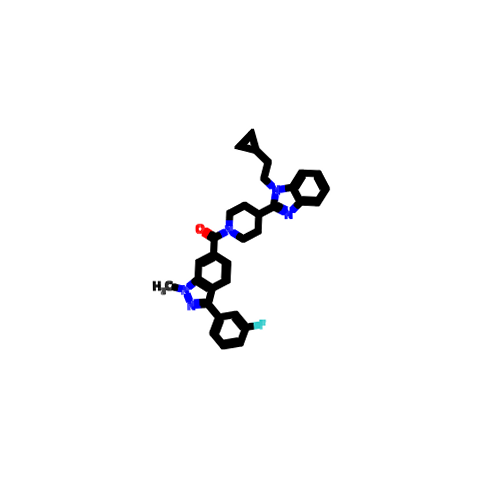 Cn1nc(-c2cccc(F)c2)c2ccc(C(=O)N3CCC(c4nc5ccccc5n4CCC4CC4)CC3)cc21